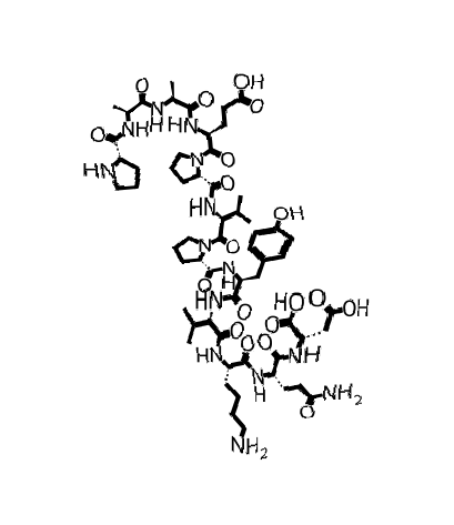 CC(C)[C@H](NC(=O)[C@H](Cc1ccc(O)cc1)NC(=O)[C@@H]1CCCN1C(=O)[C@@H](NC(=O)[C@@H]1CCCN1C(=O)[C@H](CCC(=O)O)NC(=O)[C@H](C)NC(=O)[C@H](C)NC(=O)[C@@H]1CCCN1)C(C)C)C(=O)N[C@@H](CCCCN)C(=O)N[C@@H](CCC(N)=O)C(=O)N[C@@H](CC(=O)O)C(=O)O